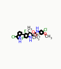 COc1ccc(NC(=O)OC2C(C)c3c(cc(F)c(-c4cccc5c(Cl)c[nH]c45)c3F)NC2(C)C)cc1Cl